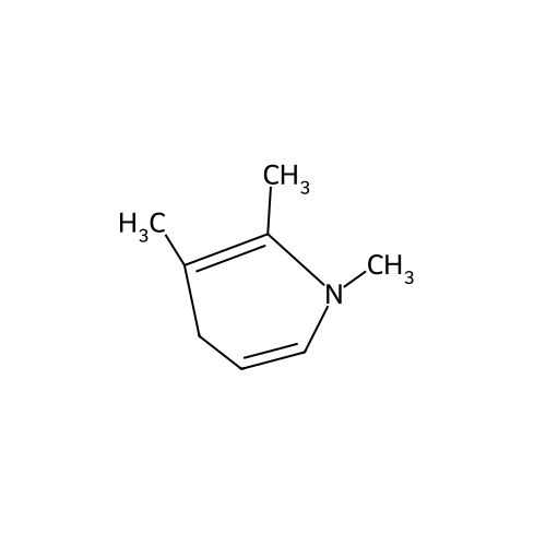 CC1=C(C)N(C)C=CC1